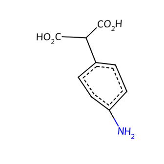 Nc1ccc(C(C(=O)O)C(=O)O)cc1